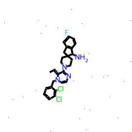 C/C=C1/C(N2CCC3(CC2)Cc2cc(F)ccc2C3N)=NC=CN1Cc1cccc(Cl)c1Cl